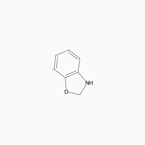 [c]1cccc2c1OCN2